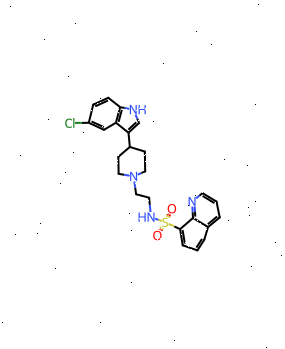 O=S(=O)(NCCN1CCC(c2c[nH]c3ccc(Cl)cc23)CC1)c1cccc2cccnc12